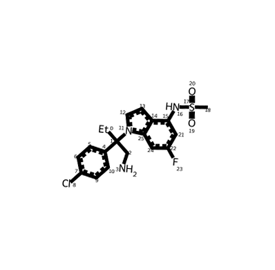 CCC(CN)(c1ccc(Cl)cc1)n1ccc2c(NS(C)(=O)=O)cc(F)cc21